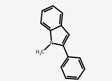 Cn1c(-c2cc[c]cc2)cc2ccccc21